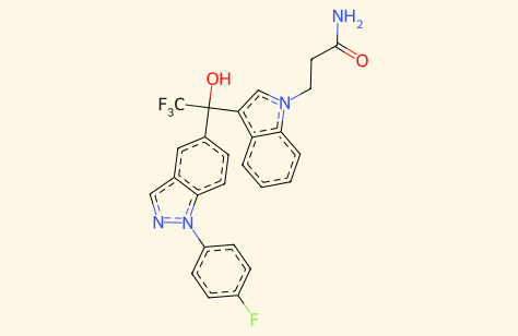 NC(=O)CCn1cc(C(O)(c2ccc3c(cnn3-c3ccc(F)cc3)c2)C(F)(F)F)c2ccccc21